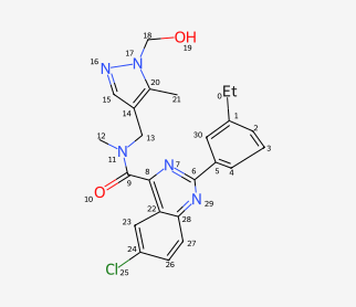 CCc1cccc(-c2nc(C(=O)N(C)Cc3cnn(CO)c3C)c3cc(Cl)ccc3n2)c1